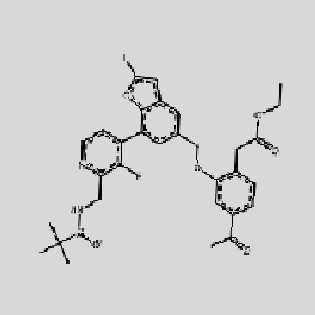 CCOC(=O)Cc1ccc(C(C)=O)cc1OCc1cc(-c2ccnc(CN[S+]([O-])C(C)(C)C)c2F)c2oc(F)cc2c1